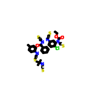 CC(C)(C)N=C=S.CCOC(=O)N=C=S.Cc1ccc(N=C=S)cc1.O=C(N=C=S)c1ccccc1.S=C=Nc1ccc(Cl)cc1